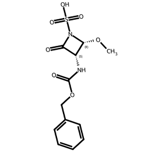 CO[C@@H]1[C@H](NC(=O)OCc2ccccc2)C(=O)N1S(=O)(=O)O